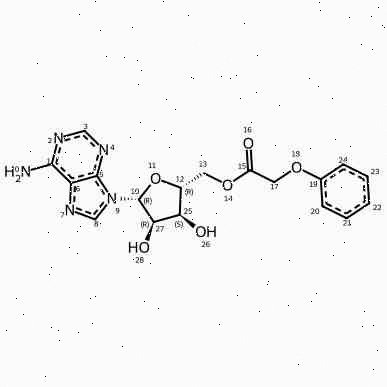 Nc1ncnc2c1ncn2[C@@H]1O[C@H](COC(=O)COc2ccccc2)[C@@H](O)[C@H]1O